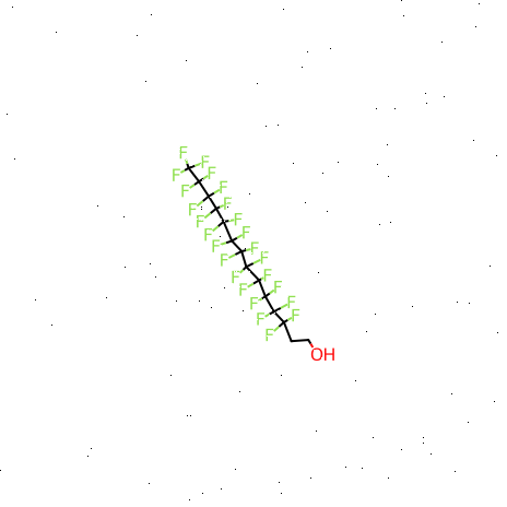 OCCC(F)(F)C(F)(F)C(F)(F)C(F)(F)C(F)(F)C(F)(F)C(F)(F)C(F)(F)C(F)(F)C(F)(F)C(F)(F)C(F)(F)F